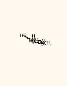 Cc1nc2ccc(C=C3SC(=NCCCCO)NC3=O)cc2o1